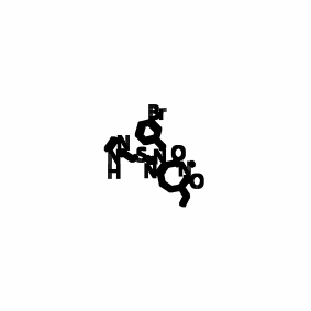 CCC1CCc2nc(SCc3ncc[nH]3)n(Cc3cccc(Br)c3)c2C(=O)N(C)C1=O